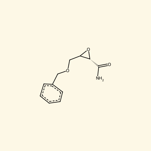 NC(=O)[C@H]1OC1COCc1ccccc1